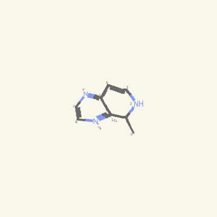 CC1NC=Cc2nccnc21